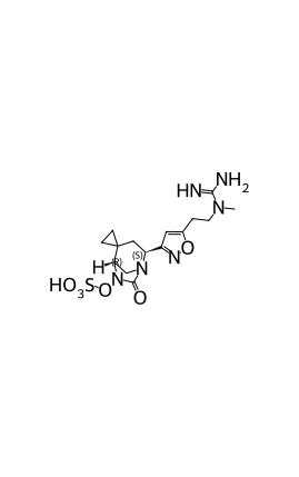 CN(CCc1cc([C@@H]2CC3(CC3)[C@@H]3CN2C(=O)N3OS(=O)(=O)O)no1)C(=N)N